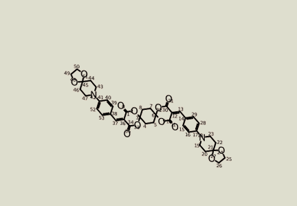 O=C1OC2(CCC3(CC2)OC(=O)C(=Cc2ccc(N4CCC5(CC4)OCCO5)cc2)C(=O)O3)OC(=O)C1=Cc1ccc(N2CCC3(CC2)OCCO3)cc1